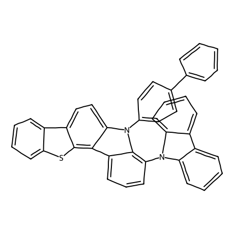 c1ccc(-c2ccc(-n3c4ccc5c6ccccc6sc5c4c4cccc(-n5c6ccccc6c6ccccc65)c43)cc2)cc1